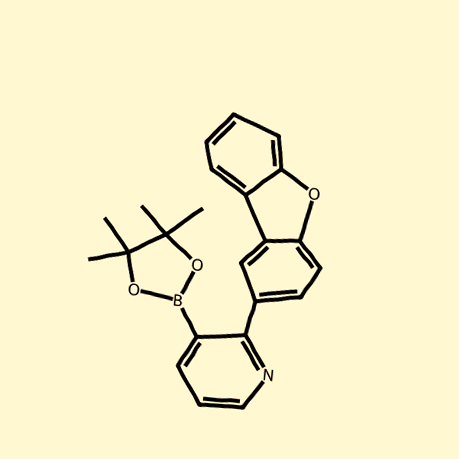 CC1(C)OB(c2cccnc2-c2ccc3oc4ccccc4c3c2)OC1(C)C